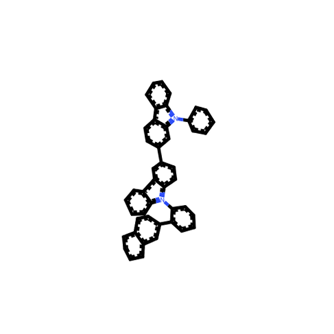 c1ccc(-n2c3ccccc3c3ccc(-c4ccc5c(c4)c4ccccc4n5-c4ccccc4-c4ccc5ccccc5c4)cc32)cc1